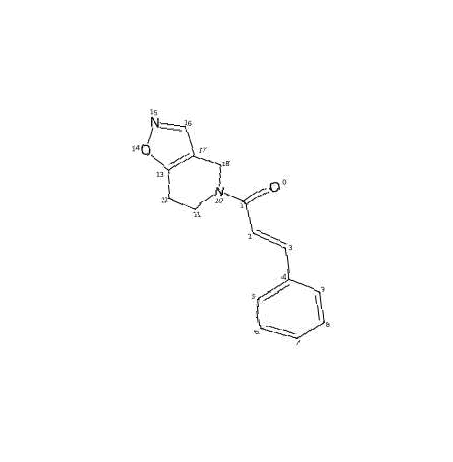 O=C(C=Cc1ccccc1)N1CCc2oncc2C1